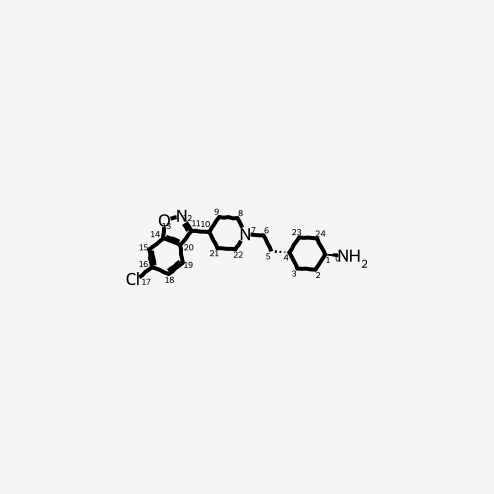 N[C@H]1CC[C@H](CCN2CCC(c3noc4cc(Cl)ccc34)CC2)CC1